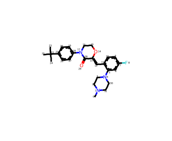 CN1CCN(c2cc(F)ccc2C=C2OCCN(c3ccc(C(C)(C)C)cc3)C2=O)CC1